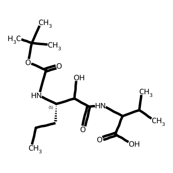 CCC[C@H](NC(=O)OC(C)(C)C)C(O)C(=O)NC(C(=O)O)C(C)C